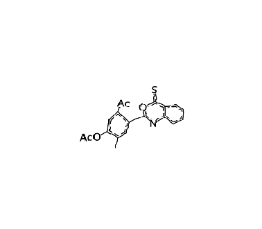 CC(=O)Oc1cc(C(C)=O)c(-c2nc3ccccc3c(=S)o2)cc1C